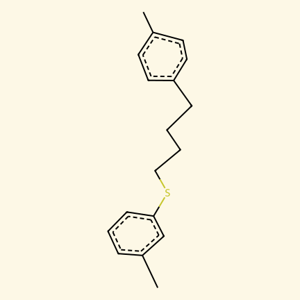 Cc1ccc(CCCCSc2cccc(C)c2)cc1